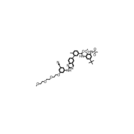 COCCOCCOCCOc1cc(C#N)cc(Nc2ncc3cc(-c4cc(C(=O)Nc5cc(C(C)(C)C)cc(NS(C)(=O)=O)c5OC)ccc4C)ccc3n2)c1